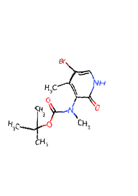 Cc1c(Br)c[nH]c(=O)c1N(C)C(=O)OC(C)(C)C